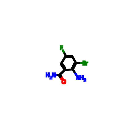 NC(=O)c1cc(F)cc(Br)c1N